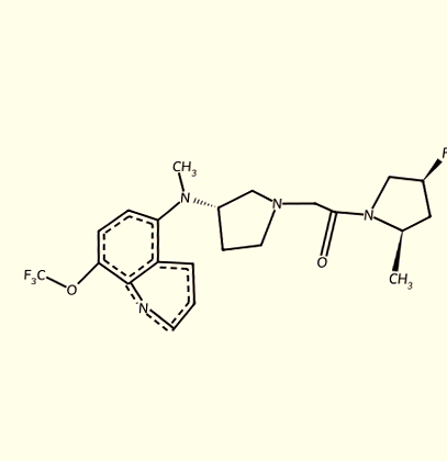 C[C@@H]1C[C@H](F)CN1C(=O)CN1CC[C@H](N(C)c2ccc(OC(F)(F)F)c3ncccc23)C1